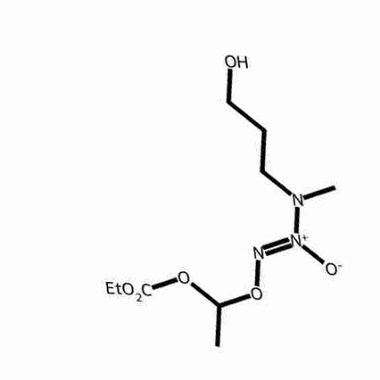 CCOC(=O)OC(C)O/N=[N+](\[O-])N(C)CCCO